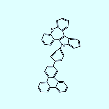 c1ccc2c(c1)Sc1ccccc1-c1c-2c2ccccc2n1-c1ccc(-c2ccc3c4ccccc4c4ccccc4c3c2)cc1